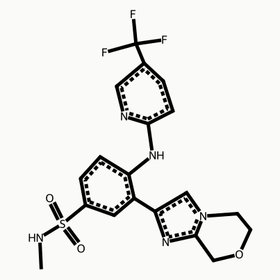 CNS(=O)(=O)c1ccc(Nc2ccc(C(F)(F)F)cn2)c(-c2cn3c(n2)COCC3)c1